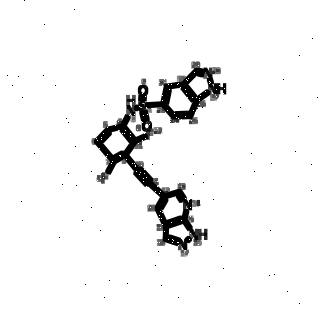 O=S(=O)(Nc1ccc(F)c(C#Cc2cnc3[nH]ncc3c2)c1F)c1ccc2[nH]ncc2c1